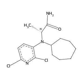 C[C@H](C(N)=O)N(c1ccc(Cl)nc1Cl)C1CCCCCC1